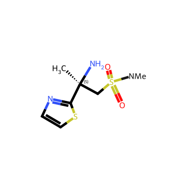 CNS(=O)(=O)C[C@](C)(N)c1nccs1